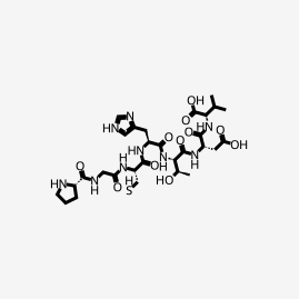 CC(C)[C@H](NC(=O)[C@H](CC(=O)O)NC(=O)[C@@H](NC(=O)[C@H](Cc1c[nH]cn1)NC(=O)[C@H](CS)NC(=O)CNC(=O)[C@@H]1CCCN1)[C@@H](C)O)C(=O)O